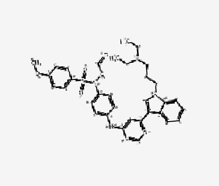 CCN(CC)CCCn1cc(-c2cc(Nc3ccc(N(OC=O)S(=O)(=O)c4ccc(OC)cc4)cc3)ncn2)c2ccccc21